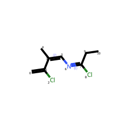 C=C(Cl)/C(C)=C\N=C(\Cl)CC